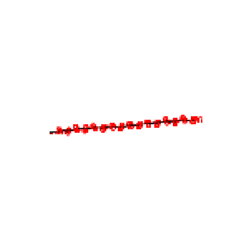 CCCCCCCC(=O)OCCCCCC(=O)OCCCCCC(=O)OCCCCCC(=O)OCCCCCC(=O)OCCCCCC(=O)OCCCCCC(=O)OCCCCCC(=O)OCCCCCC(=O)OCCCCCC(=O)OCCCCCC(=O)OCCCCCC(=O)OCCCCCC(=O)OCCCCCC(=O)OCCCCCC(=O)OCCCCCC(=O)O